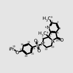 Cc1ccc2c(n1)C1(C)CN(S(=O)(=O)c3ccc(OC(C)C)cc3)CCN1C2=O